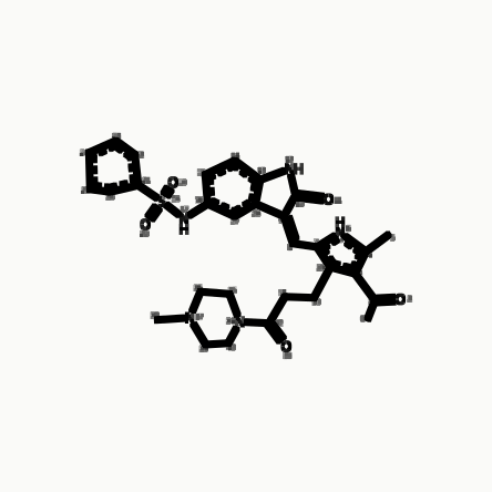 CC(=O)c1c(C)[nH]c(/C=C2\C(=O)Nc3ccc(NS(=O)(=O)c4ccccc4)cc32)c1CCC(=O)N1CCN(C)CC1